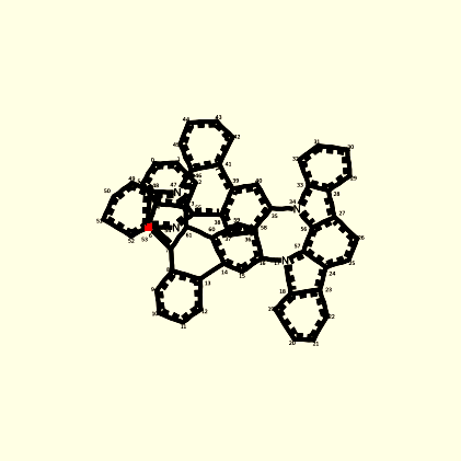 c1ccc2c(c1)N=C1c3ccccc3-c3cc(-n4c5ccccc5c5ccc6c7ccccc7n(-c7ccc8c(c7)c7ccccc7n7c9ccccc9nc87)c6c54)ccc3C12